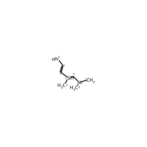 CCCC=C[SiH](C)CN(C)C